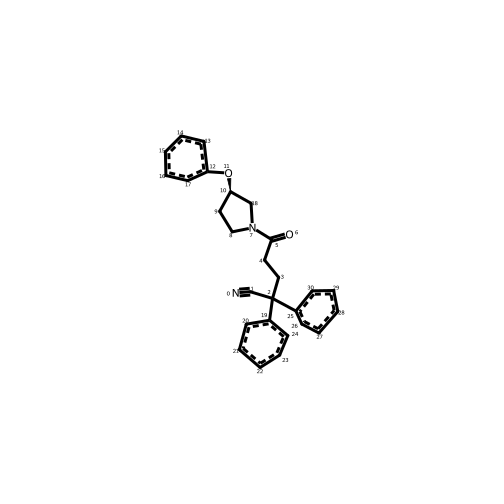 N#CC(CCC(=O)N1CC[C@@H](Oc2ccccc2)C1)(c1ccccc1)c1ccccc1